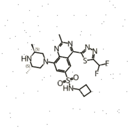 Cc1nc(-c2nnc(C(F)F)s2)c2cc(S(=O)(=O)NC3CCC3)cc(N3C[C@H](C)N[C@@H](C)C3)c2n1